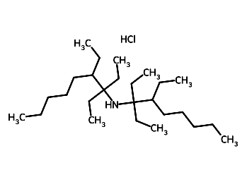 CCCCCC(CC)C(CC)(CC)NC(CC)(CC)C(CC)CCCCC.Cl